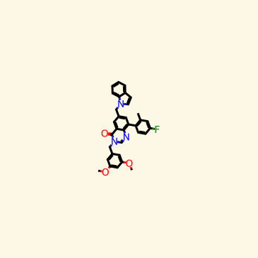 COc1cc(Cn2cnc3c(-c4ccc(F)cc4C)cc(Cn4ccc5ccccc54)cc3c2=O)cc(OC)c1